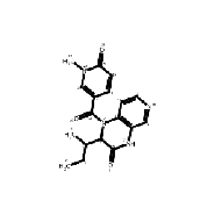 CCC(C)C1C(=O)Nc2cnccc2N1C(=O)c1ccc(=O)n(C)c1